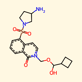 NC1CCN(S(=O)(=O)c2cccc3c(=O)n(COC(O)C4CCC4)ccc23)C1